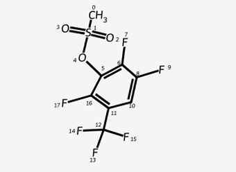 CS(=O)(=O)Oc1c(F)c(F)cc(C(F)(F)F)c1F